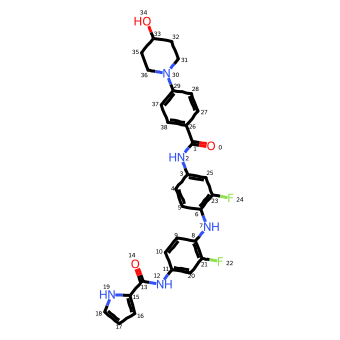 O=C(Nc1ccc(Nc2ccc(NC(=O)c3ccc[nH]3)cc2F)c(F)c1)c1ccc(N2CCC(O)CC2)cc1